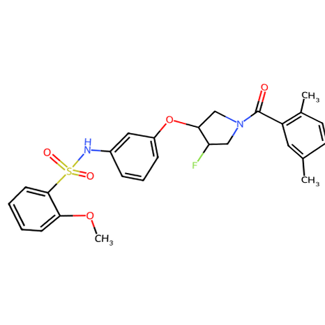 COc1ccccc1S(=O)(=O)Nc1cccc(OC2CN(C(=O)c3cc(C)ccc3C)CC2F)c1